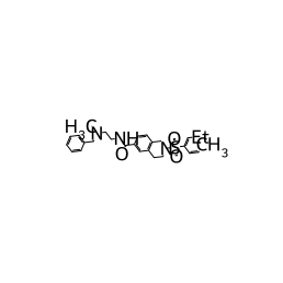 C/C=C\C(=C/CC)S(=O)(=O)N1CCc2cc(C(=O)NCCN(C)Cc3ccccc3)ccc2C1